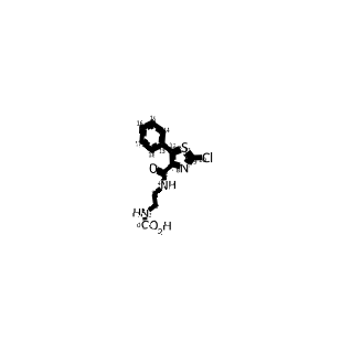 O=C(O)NCCNC(=O)c1nc(Cl)sc1-c1ccccc1